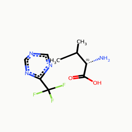 CC(C)[C@H](N)C(=O)O.FC(F)(F)c1ncncn1